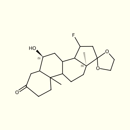 CC12CCC(=O)CC1[C@@H](O)CC1C2CC[C@@]2(C)C1C(F)CC21OCCO1